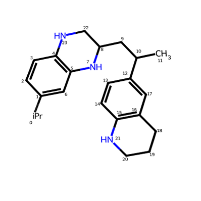 CC(C)c1ccc2c(c1)NC(CC(C)c1ccc3c(c1)CCCN3)CN2